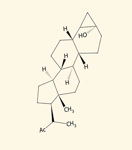 CC(=O)C(C)[C@H]1CC[C@H]2[C@@H]3CC[C@@H]4C5C[C@@]5(O)CC[C@@H]4[C@H]3CC[C@]12C